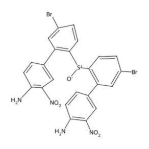 Nc1ccc(-c2cc(Br)ccc2[S+]([O-])c2ccc(Br)cc2-c2ccc(N)c([N+](=O)[O-])c2)cc1[N+](=O)[O-]